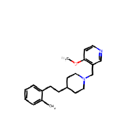 COc1ccncc1CN1CCC(CCc2ccccc2C)CC1